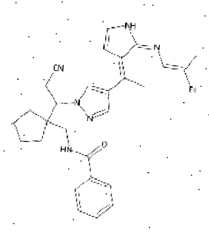 CC/C(C)=C/N=C1/NC=C/C1=C(/C)c1cnn(C(CC#N)C2(CNC(=O)c3ccccc3)CCCC2)c1